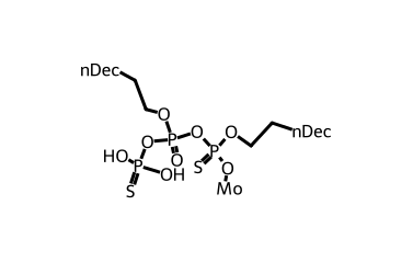 CCCCCCCCCCCCOP(=O)(OP(O)(O)=S)OP(=S)([O][Mo])OCCCCCCCCCCCC